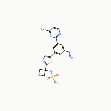 CS(=O)(=O)NC1(c2ncc(-c3cc(C=N)cc(-c4nccc(C(F)(F)F)n4)c3)s2)COC1